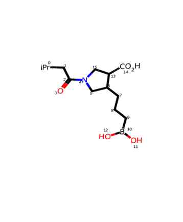 CC(C)CC(=O)N1CC(CCCB(O)O)C(C(=O)O)C1